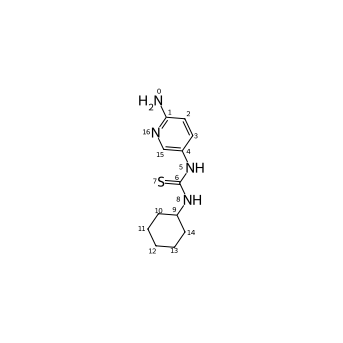 Nc1ccc(NC(=S)NC2CCCCC2)cn1